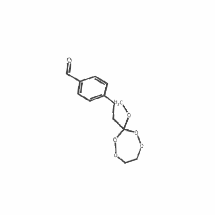 COC1(CCc2ccc(C=O)cc2)OOCCOO1